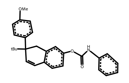 COc1ccc(C2(C(C)(C)C)C=Cc3ccc(OC(=O)Nc4ccccc4)cc3C2)cc1